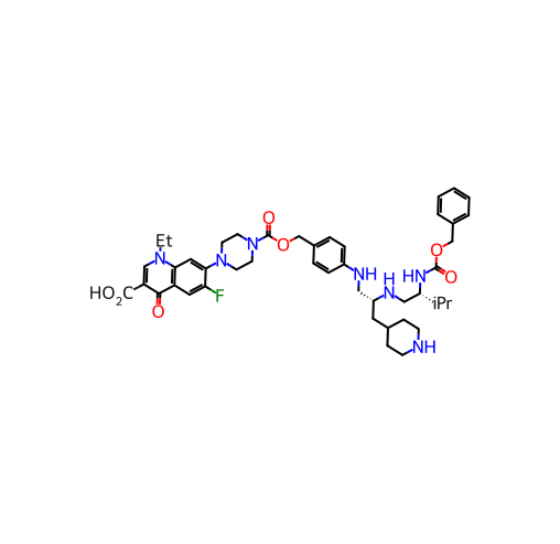 CCn1cc(C(=O)O)c(=O)c2cc(F)c(N3CCN(C(=O)OCc4ccc(NC[C@@H](CC5CCNCC5)NC[C@H](NC(=O)OCc5ccccc5)C(C)C)cc4)CC3)cc21